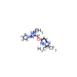 Cc1c(C(F)(F)F)nc2ccc(OCc3nc(N4CCCC4)nn3C)nn12